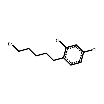 Clc1ccc(CCCCCBr)c(Cl)c1